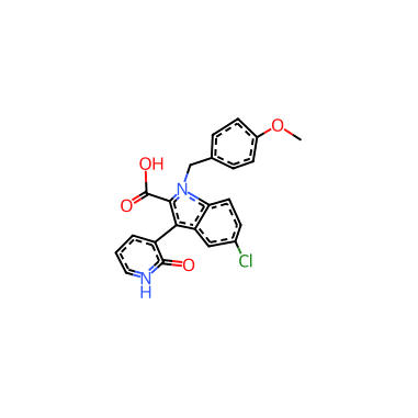 COc1ccc(Cn2c(C(=O)O)c(-c3ccc[nH]c3=O)c3cc(Cl)ccc32)cc1